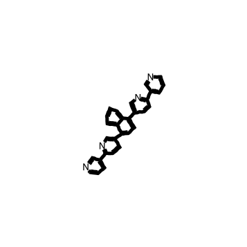 c1cncc(-c2ccc(-c3ccc(-c4ccc(-c5cccnc5)nc4)c4ccccc34)cn2)c1